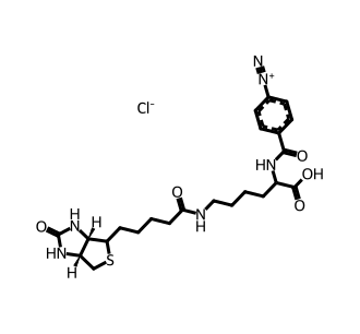 N#[N+]c1ccc(C(=O)NC(CCCCNC(=O)CCCCC2SC[C@@H]3NC(=O)N[C@H]23)C(=O)O)cc1.[Cl-]